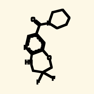 O=C(c1cnc2c(c1)OCC(F)(F)CN2)N1CCCCC1